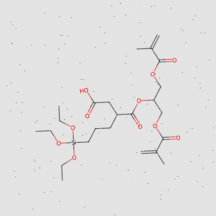 C=C(C)C(=O)OCC(COC(=O)C(=C)C)OC(=O)C(CCC[Si](OCC)(OCC)OCC)CC(=O)O